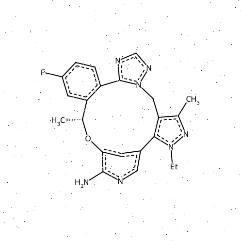 CCn1nc(C)c2c1-c1cnc(N)c(c1)O[C@H](C)c1cc(F)ccc1-c1ncnn1C2